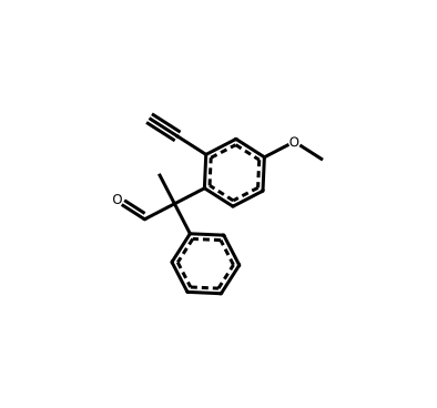 C#Cc1cc(OC)ccc1C(C)(C=O)c1ccccc1